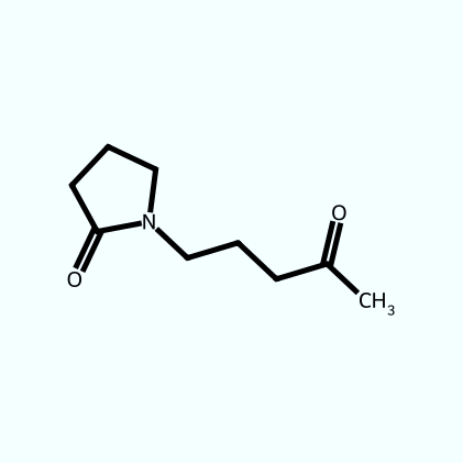 CC(=O)CCCN1CCCC1=O